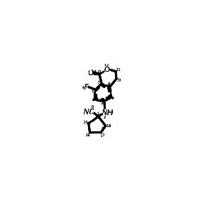 N#CC1(Nc2cc(F)c3c(c2)CCOC3=O)CCCC1